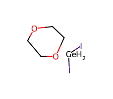 C1COCCO1.[I][GeH2][I]